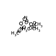 COc1cc(-c2cc3nccc(-c4cccc(C(=O)N5CCN(C)CC5)c4)c3o2)cc(OC)c1OC